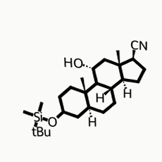 CC(C)(C)[Si](C)(C)OC1CC[C@]2(C)C3[C@H](O)C[C@]4(C)[C@@H](C#N)CC[C@H]4[C@@H]3CC[C@H]2C1